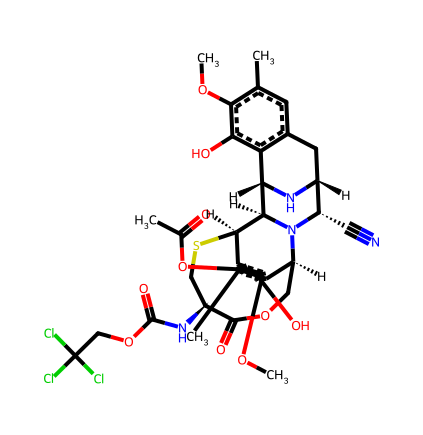 COc1c(C)cc2c(c1O)[C@@H]1N[C@H](C2)[C@H](C#N)N2[C@H]1[C@@H]1SC[C@H](NC(=O)OCC(Cl)(Cl)Cl)C(=O)OC[C@H]2c2c(O)c(OC)c(C)c(OC(C)=O)c21